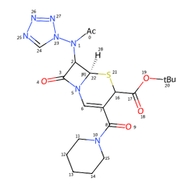 CC(=O)N(C1C(=O)N2C=C(C(=O)N3CCCCC3)C(C(=O)OC(C)(C)C)S[C@H]12)n1cnnn1